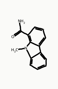 Cn1c2ccccc2c2c[c]cc(C(N)=O)c21